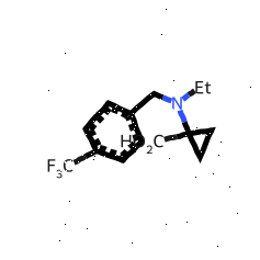 CCN(Cc1ccc(C(F)(F)F)cc1)C1(C(=O)O)CC1